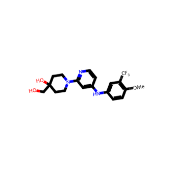 COc1ccc(Nc2ccnc(N3CCC(O)(CO)CC3)c2)cc1C(F)(F)F